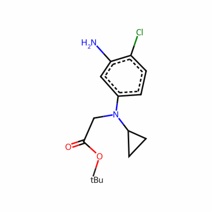 CC(C)(C)OC(=O)CN(c1ccc(Cl)c(N)c1)C1CC1